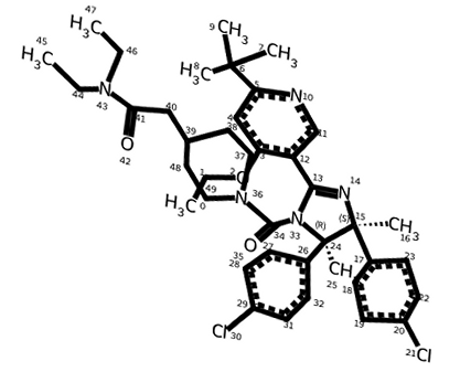 CCOc1cc(C(C)(C)C)ncc1C1=N[C@@](C)(c2ccc(Cl)cc2)[C@@](C)(c2ccc(Cl)cc2)N1C(=O)N1CCC(CC(=O)N(CC)CC)CC1